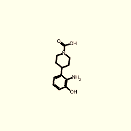 Nc1c(O)cccc1C1CCN(C(=O)O)CC1